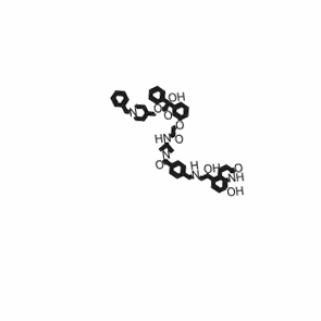 O=C(COc1cccc(C(O)(C(=O)OCC2CCN(Cc3ccccc3)CC2)c2ccccc2)c1)NC1CN(C(=O)c2ccc(CNC[C@H](O)c3ccc(O)c4[nH]c(=O)ccc34)cc2)C1